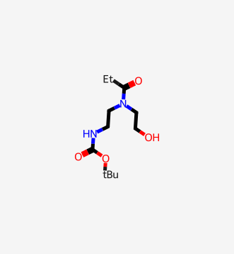 CCC(=O)N(CCO)CCNC(=O)OC(C)(C)C